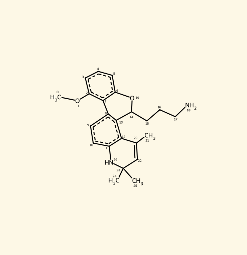 COc1cccc2c1-c1ccc3c(c1C(CCCN)O2)C(C)=CC(C)(C)N3